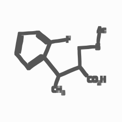 CC(=O)SCC(C(=O)O)C(C)c1ccccc1F